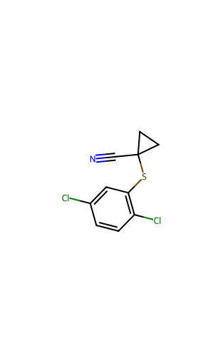 N#CC1(Sc2cc(Cl)ccc2Cl)CC1